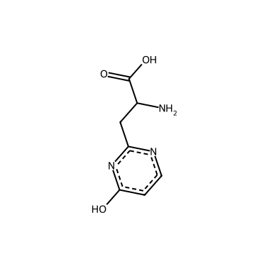 NC(Cc1nccc(O)n1)C(=O)O